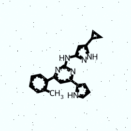 Cc1ccccc1-c1cc(-c2ccc[nH]2)nc(Nc2cc(C3CC3)[nH]n2)n1